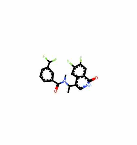 CC(c1c[nH]c(=O)c2cc(F)c(F)cc12)N(C)C(=O)c1cccc(C(F)F)c1